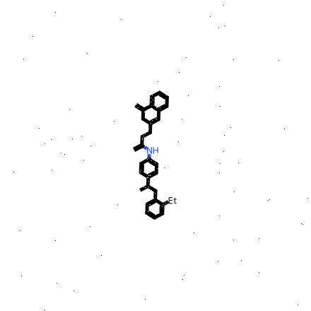 C=C(CCC1=Cc2ccccc2C(=C)C1)Nc1ccc(C(C)Cc2ccccc2CC)cc1